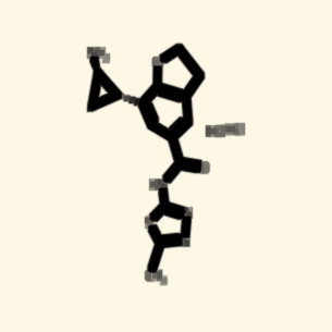 Cc1nnc(NC(=O)c2cc3c(c([C@@H]4C[C@H]4N)c2)OCC3)s1.Cl.Cl